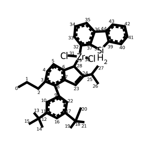 CCCc1ccc2c(c1-c1cc(C(C)(C)C)cc(C(C)(C)C)c1)C=C(C(C)C)[CH]2[Zr]([Cl])([Cl])[c]1cccc2c1[SiH2]c1ccccc1-2